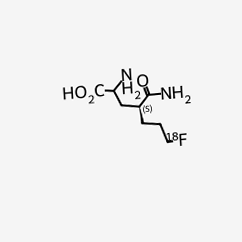 NC(=O)[C@@H](CCC[18F])CC(N)C(=O)O